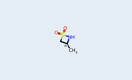 C[C@H]1CS(=O)(=O)N1